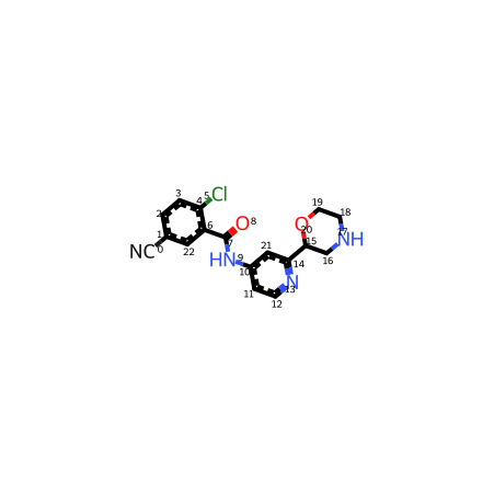 N#Cc1ccc(Cl)c(C(=O)Nc2ccnc(C3CNCCO3)c2)c1